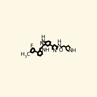 Cc1cc(F)cc(-c2cccc3[nH]c(-c4n[nH]c5ccc(-c6cncc(NC(=O)CC7CCNCC7)c6)cc45)cc23)c1